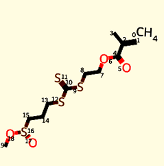 C.C=C(C)C(=O)OCCSC(=S)SCCCS(=O)OC